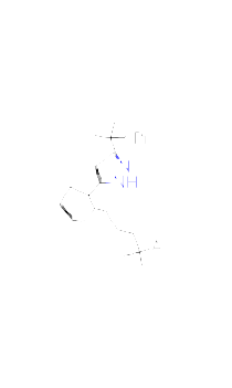 CCCC(C)(C)c1cc(C2CC=CCC2CCCC(C)(C)C(C)=O)[nH]n1